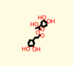 CC(O)(C(=O)OC(=O)C=Cc1ccc(O)c(O)c1)c1ccc(O)c(O)c1